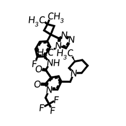 C[C@H]1CCCN(Cc2cc(C(=O)Nc3cc(C4(c5nncn5C)CC(C)(C)C4)ccc3F)c(=O)n(CC(F)(F)F)c2)C1